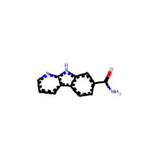 NC(=O)c1ccc2c(c1)[nH]c1ncccc12